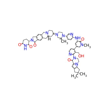 C[C@H]1CN([C@H]2CCN3Cc4cc5c(cc4C[C@H]3C2)C(=O)N(C2CCC(=O)NC2=O)C5)CCN1c1ccc(Nc2cc(-c3ccnc(N4CCn5c(cc6c5CC(C)(C)C6)C4=O)c3CO)cn(C)c2=O)nc1